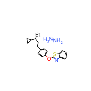 CCC(CCc1ccc(Oc2nc3ccccc3s2)cc1)C1CC1.NN